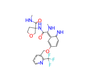 CNC(=O)C1(NC(=O)/C(NC)=C2\C=C(OCc3cccnc3C(F)(F)F)C=CC2=N)CCOC1